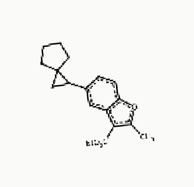 CCOC(=O)c1c(C)oc2ccc(C3CC34CCCC4)cc12